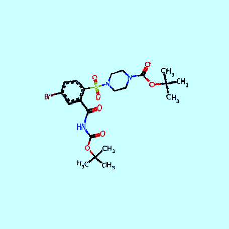 CC(C)(C)OC(=O)NC(=O)c1cc(Br)ccc1S(=O)(=O)N1CCN(C(=O)OC(C)(C)C)CC1